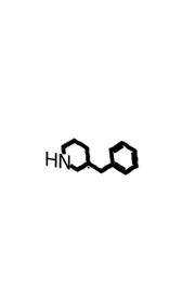 c1ccc(C[C]2CCCNC2)cc1